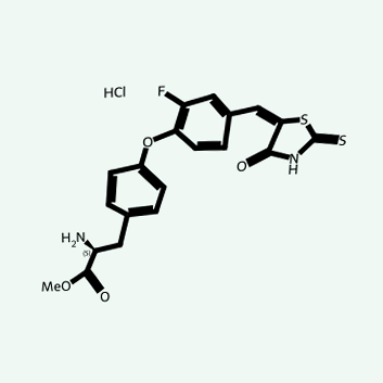 COC(=O)[C@@H](N)Cc1ccc(Oc2ccc(C=C3SC(=S)NC3=O)cc2F)cc1.Cl